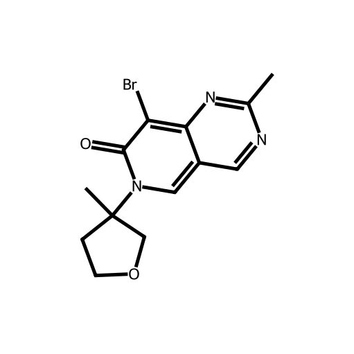 Cc1ncc2cn(C3(C)CCOC3)c(=O)c(Br)c2n1